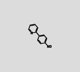 O=Nc1ccc(-c2ccccn2)cc1